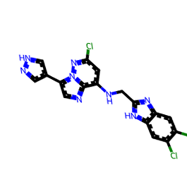 Clc1cc(NCc2nc3cc(Cl)c(Cl)cc3[nH]2)c2ncc(-c3cn[nH]c3)n2n1